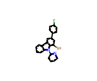 Fc1ccc(-c2cc(S)c3c(c2)c2ccccc2n3-c2ccccn2)cc1